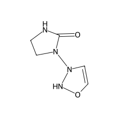 O=C1NCCN1N1C=CON1